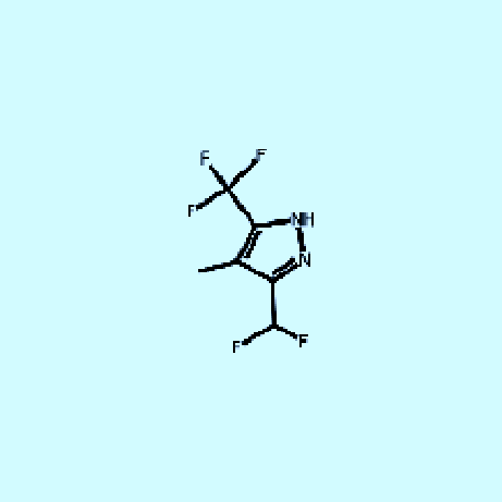 Cc1c(C(F)F)n[nH]c1C(F)(F)F